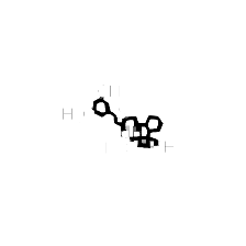 CCC12C=CC1(CC)C1C=CCCC1/C(=C/C1=C(C)CC(c3cc(C)cc(C)c3)S1)N2